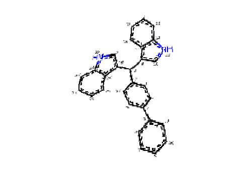 c1ccc(-c2ccc(C(c3c[nH]c4ccccc34)c3c[nH]c4ccccc34)cc2)cc1